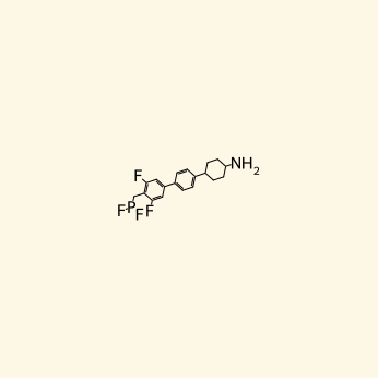 NC1CCC(c2ccc(-c3cc(F)c(CP(F)F)c(F)c3)cc2)CC1